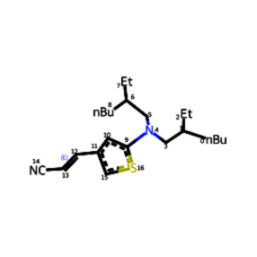 CCCCC(CC)CN(CC(CC)CCCC)c1cc(/C=C/C#N)cs1